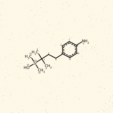 CC(C)(CCc1ccc(N)cc1)[Si](C)(C)O